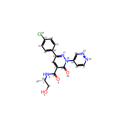 C[C@@H](CO)NC(=O)c1cc(-c2ccc(Cl)cc2)nn(-c2ccnnc2)c1=O